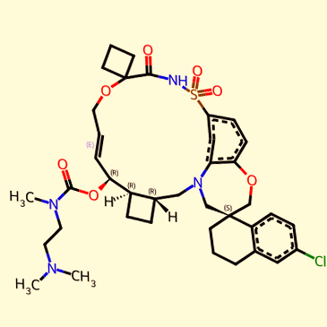 CN(C)CCN(C)C(=O)O[C@H]1/C=C/COC2(CCC2)C(=O)NS(=O)(=O)c2ccc3c(c2)N(C[C@@H]2CC[C@H]21)C[C@@]1(CCCc2cc(Cl)ccc21)CO3